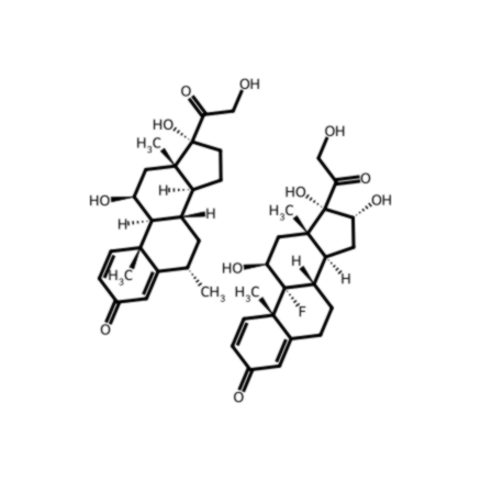 C[C@H]1C[C@@H]2[C@H]([C@@H](O)C[C@@]3(C)[C@H]2CC[C@]3(O)C(=O)CO)[C@@]2(C)C=CC(=O)C=C12.C[C@]12C=CC(=O)C=C1CC[C@H]1[C@@H]3C[C@@H](O)[C@](O)(C(=O)CO)[C@@]3(C)C[C@H](O)[C@@]12F